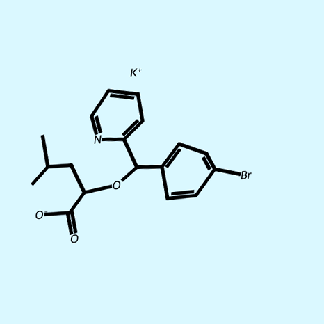 CC(C)CC(OC(c1ccc(Br)cc1)c1ccccn1)C(=O)[O-].[K+]